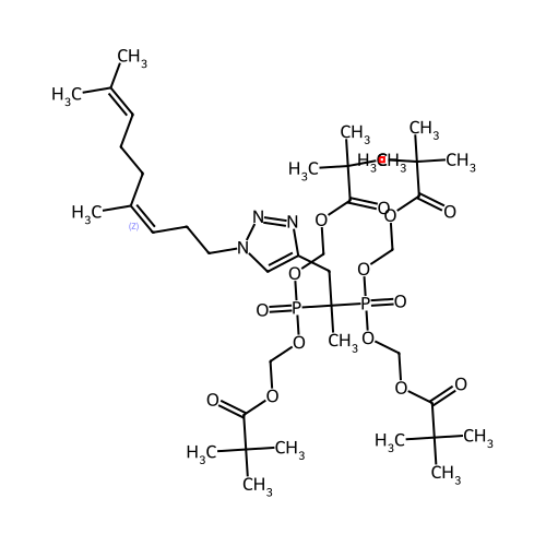 CC(C)=CCC/C(C)=C\CCn1cc(CC(C)(P(=O)(OCOC(=O)C(C)(C)C)OCOC(=O)C(C)(C)C)P(=O)(OCOC(=O)C(C)(C)C)OCOC(=O)C(C)(C)C)nn1